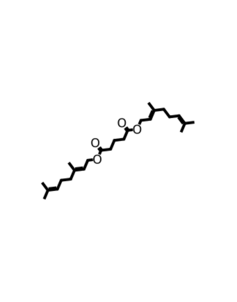 CC(C)=CCC/C(C)=C/COC(=O)CCCC(=O)OC/C=C(\C)CCC=C(C)C